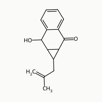 C=C(C)CC1C2C(=O)c3ccccc3C(O)C12